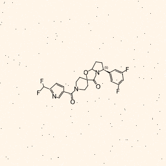 O=C(c1ccc(C(F)F)nc1)N1CCC2(CC1)OC1CC[C@@H](c3cc(F)cc(F)c3)N1C2=O